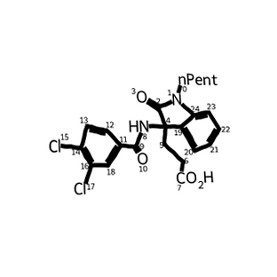 CCCCCN1C(=O)C(CCC(=O)O)(NC(=O)c2ccc(Cl)c(Cl)c2)c2ccccc21